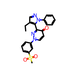 CCc1cnn(-c2ccccc2)c1-c1nn(-c2cccc(S(C)(=O)=O)c2)ccc1=O